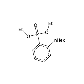 CCCCCCc1ccccc1P(=O)(OCC)OCC